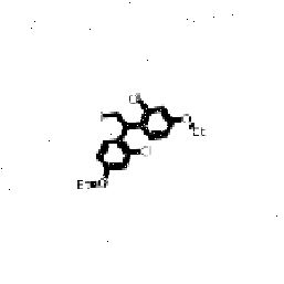 CCOc1ccc(C(CI)c2ccc(OCC)cc2Cl)c(Cl)c1